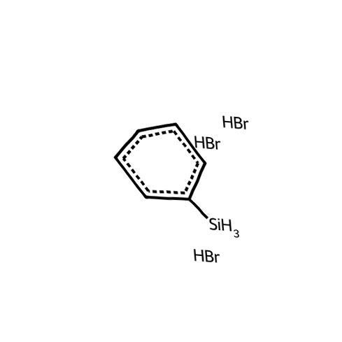 Br.Br.Br.[SiH3]c1ccccc1